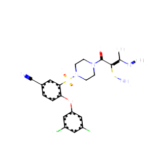 C=N/C(C)=C(\SN)C(=O)N1CCN(S(=O)(=O)c2cc(C#N)ccc2Oc2cc(Cl)cc(Cl)c2)CC1